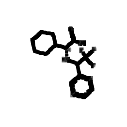 O=C(O)[C@H](NC(c1cnccn1)C(F)(F)F)C1CCCCC1